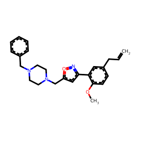 C=CCc1ccc(OC)c(-c2cc(CN3CCN(Cc4ccccc4)CC3)on2)c1